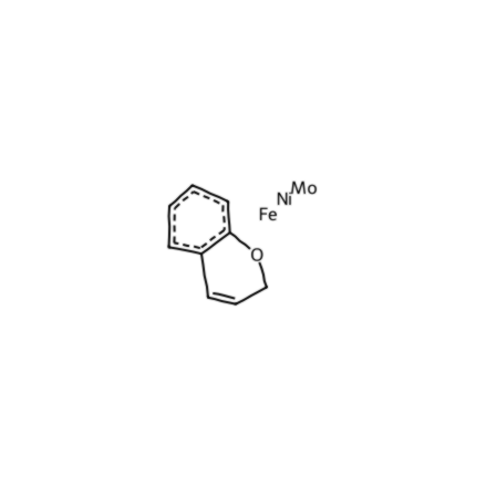 C1=Cc2ccccc2OC1.[Fe].[Mo].[Ni]